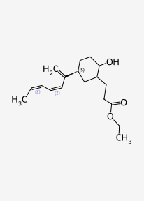 C=C(/C=C\C=C/C)[C@H]1CCC(O)C(CCC(=O)OCC)C1